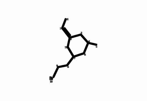 CC=C1CC(C)CC(CCBr)C1